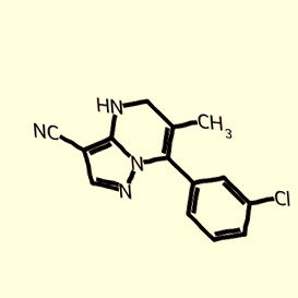 CC1=C(c2cccc(Cl)c2)n2ncc(C#N)c2NC1